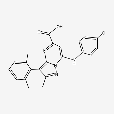 Cc1cccc(C)c1-c1c(C)nn2c(Nc3ccc(Cl)cc3)cc(C(=O)O)nc12